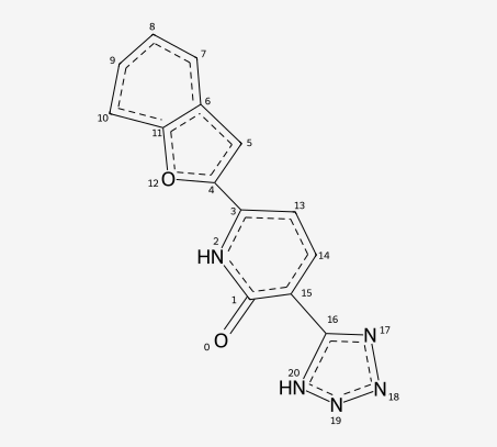 O=c1[nH]c(-c2cc3ccccc3o2)ccc1-c1nnn[nH]1